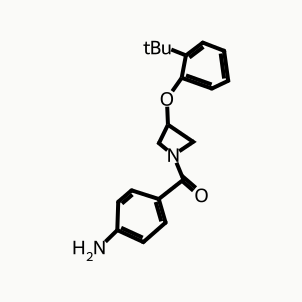 CC(C)(C)c1ccccc1OC1CN(C(=O)c2ccc(N)cc2)C1